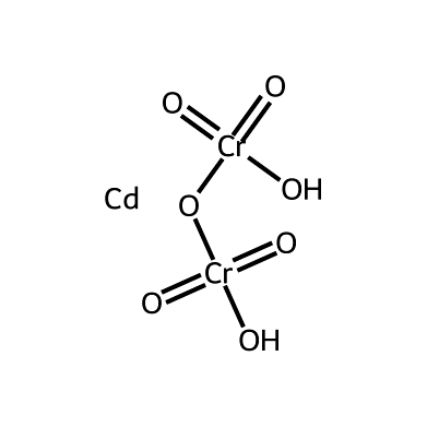 [Cd].[O]=[Cr](=[O])([OH])[O][Cr](=[O])(=[O])[OH]